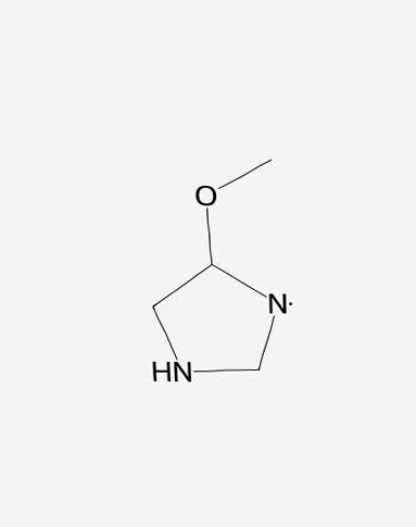 COC1CNC[N]1